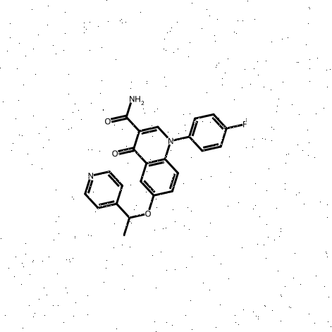 CC(Oc1ccc2c(c1)c(=O)c(C(N)=O)cn2-c1ccc(F)cc1)c1ccncc1